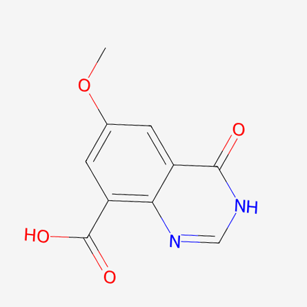 COc1cc(C(=O)O)c2nc[nH]c(=O)c2c1